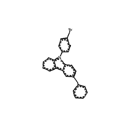 Brc1ccc(-n2c3ccccc3c3cc(-c4ccccc4)ccc32)cc1